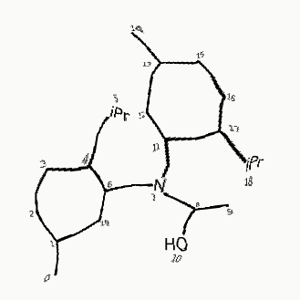 CC1CCC(C(C)C)C(N(C(C)O)C2CC(C)CCC2C(C)C)C1